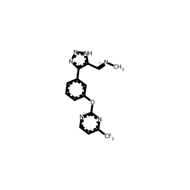 C/N=C/c1[nH]nnc1-c1cccc(Oc2nccc(C(F)(F)F)n2)c1